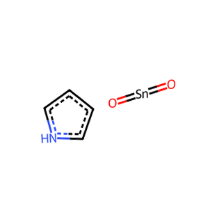 [O]=[Sn]=[O].c1cc[nH]c1